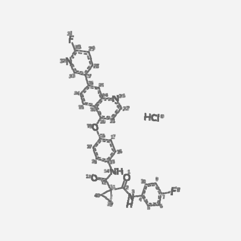 Cl.O=C(Nc1ccc(F)cc1)C1(C(=O)Nc2ccc(Oc3ccnc4cc(-c5ccc(F)nc5)ccc34)cc2)CC1